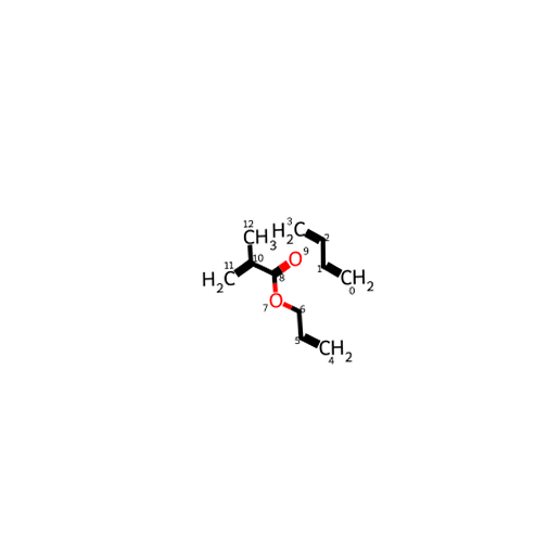 C=CC=C.C=CCOC(=O)C(=C)C